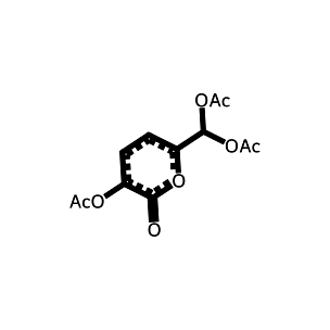 CC(=O)Oc1ccc(C(OC(C)=O)OC(C)=O)oc1=O